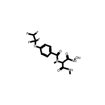 CNC(=O)C(C(=O)NO)N(C)C(=O)c1ccc(OC(F)(F)C(F)F)cc1